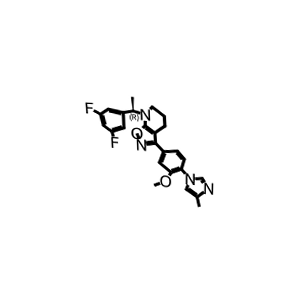 COc1cc(-c2noc3c2CCCN3[C@H](C)c2cc(F)cc(F)c2)ccc1-n1cnc(C)c1